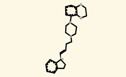 C(=C[C@H]1CCc2ccccc21)CCN1CCN(c2cccc3c2OCCO3)CC1